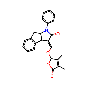 CC1=C(C)C(O/C=C2/C(=O)N(c3ccccc3)C3Cc4ccccc4C23)OC1=O